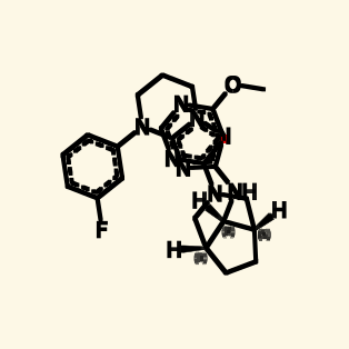 COc1cc(N2C[C@H]3CC[C@@H](C2)[C@H]3Nc2nc3n(n2)CCCN3c2cccc(F)c2)ncn1